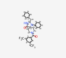 O=C(c1cc(C(F)(F)F)cc(C(F)(F)F)c1)N1CCC2(CC1)C(=O)NC(Cc1ccccc1)N2c1ccccc1